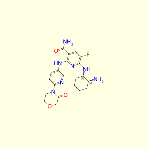 NC(=O)c1cc(F)c(N[C@@H]2CCCC[C@@H]2N)nc1Nc1ccc(N2CCOCC2=O)nc1